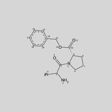 CC(C)C(N)C(=O)N1CCC[C@H]1C(=O)OCc1ccccc1